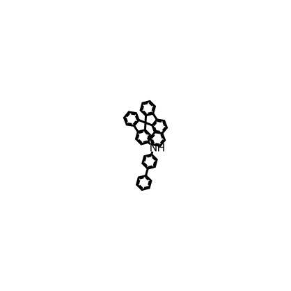 c1ccc(-c2ccc(Nc3ccc4c(c3)C3(c5ccccc5-4)c4ccccc4-c4ccc5ccccc5c43)cc2)cc1